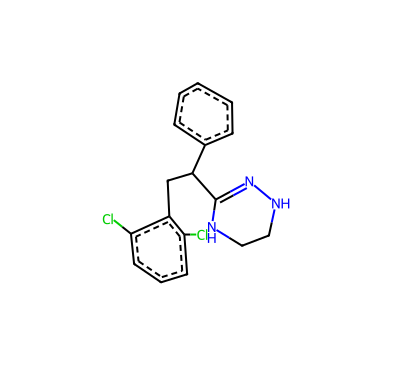 Clc1cccc(Cl)c1CC(C1=NNCCN1)c1ccccc1